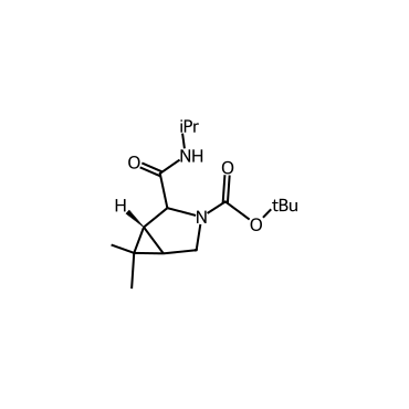 CC(C)NC(=O)C1[C@@H]2C(CN1C(=O)OC(C)(C)C)C2(C)C